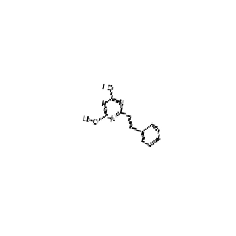 CCOc1nc(O)nc(/C=C/c2ccccc2)n1